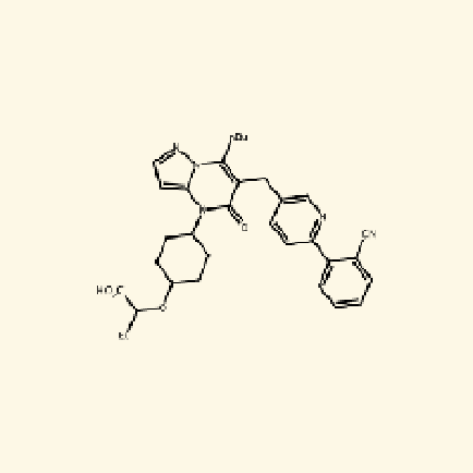 CCCCc1c(Cc2ccc(-c3ccccc3C#N)nc2)c(=O)n(C2CCC(OC(CC)C(=O)O)CC2)c2ccnn12